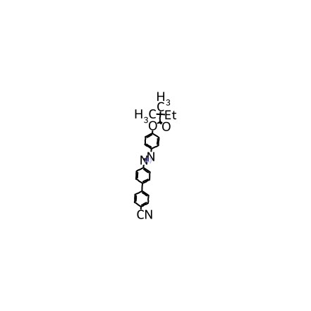 CCC(C)(C)C(=O)Oc1ccc(/N=N/c2ccc(-c3ccc(C#N)cc3)cc2)cc1